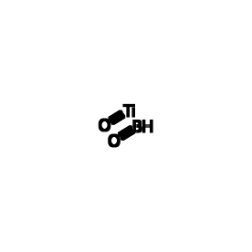 B=O.[O]=[Ti]